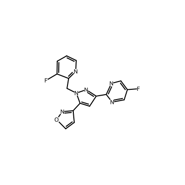 Fc1cnc(-c2cc(-c3ccon3)n(Cc3ncccc3F)n2)nc1